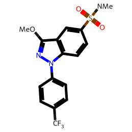 CNS(=O)(=O)c1ccc2c(c1)c(OC)nn2-c1ccc(C(F)(F)F)cc1